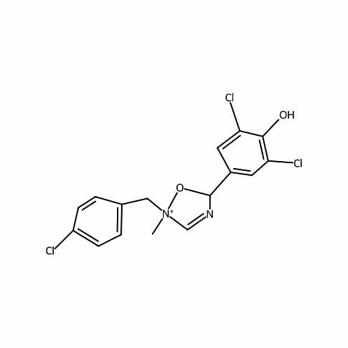 C[N+]1(Cc2ccc(Cl)cc2)C=NC(c2cc(Cl)c(O)c(Cl)c2)O1